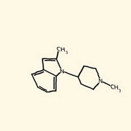 Cc1cc2ccccc2n1C1CCN(C)CC1